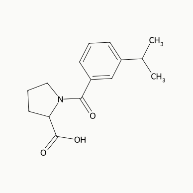 CC(C)c1cccc(C(=O)N2CCCC2C(=O)O)c1